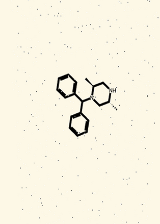 C[C@@H]1CN(C(c2ccccc2)c2ccccc2)[C@@H](C)CN1